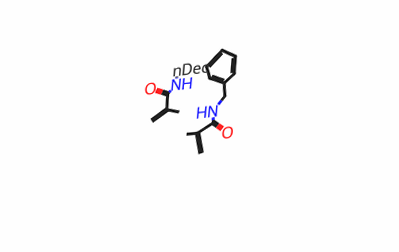 C=C(C)C(=O)NCCCCCCCCCC.C=C(C)C(=O)NCc1ccccc1